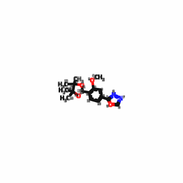 COc1cc(-c2nnco2)ccc1B1OC(C)(C)C(C)(C)O1